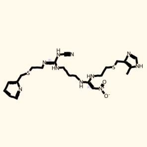 Cc1[nH]cnc1CSCCN/C(=C\[N+](=O)[O-])NCCCN/C(=N\CCSCc1ccccn1)NC#N